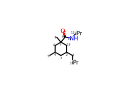 CC(C)CC1CC(C)CC(C)(C(=O)NC(C)C)C1